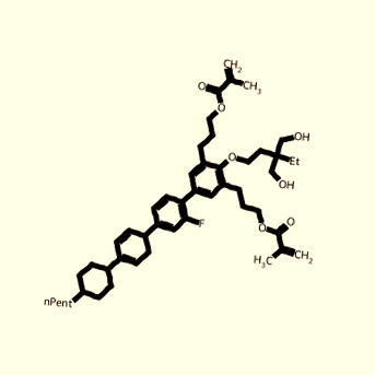 C=C(C)C(=O)OCCCc1cc(-c2ccc(C3C=CC(C4CCC(CCCCC)CC4)=CC3)cc2F)cc(CCCOC(=O)C(=C)C)c1OCCC(CC)(CO)CO